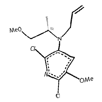 C=CCN(c1cc(OC)c(Cl)nc1Cl)[C@@H](C)COC